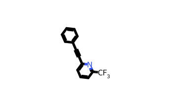 FC(F)(F)c1cccc(C#Cc2ccccc2)n1